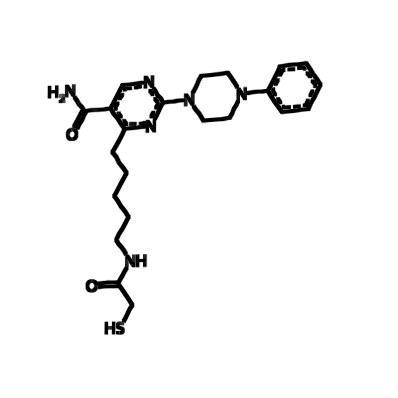 NC(=O)c1cnc(N2CCN(c3ccccc3)CC2)nc1CCCCCNC(=O)CS